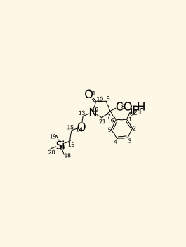 CC(C)c1ccccc1C1(C(=O)O)CC(=O)N(COCC[Si](C)(C)C)C1